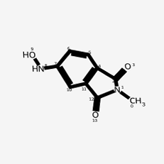 CN1C(=O)c2ccc(NO)cc2C1=O